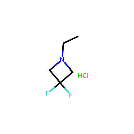 CCN1CC(F)(F)C1.Cl